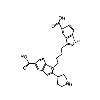 O=C(O)c1ccc2c(c1)cc(C1CCNCC1)n2CCCCc1c[nH]c2ccc(C(=O)O)cc12